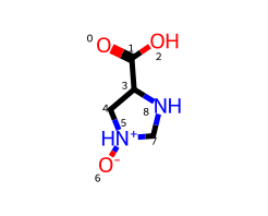 O=C(O)C1C[NH+]([O-])CN1